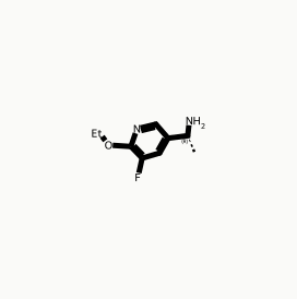 CCOc1ncc([C@@H](C)N)cc1F